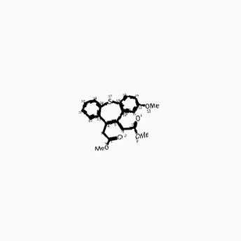 COC(=O)CC1=C(CC(=O)OC)c2cc(OC)ccc2Sc2ccccc21